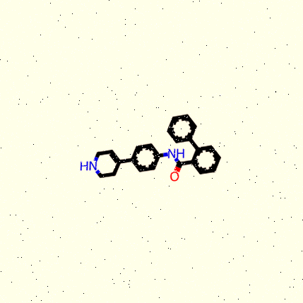 O=C(Nc1ccc(C2=CCNCC2)cc1)c1ccccc1-c1ccccc1